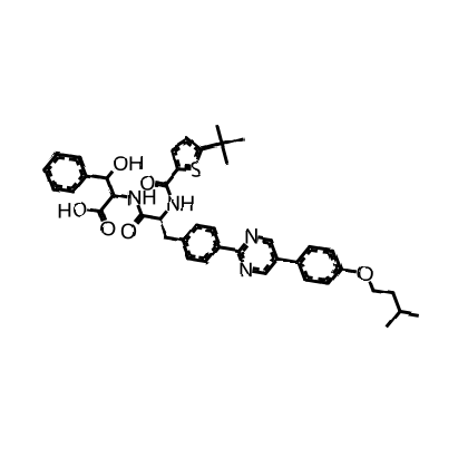 CC(C)CCOc1ccc(-c2cnc(-c3ccc(C[C@H](NC(=O)c4ccc(C(C)(C)C)s4)C(=O)NC(C(=O)O)C(O)c4ccccc4)cc3)nc2)cc1